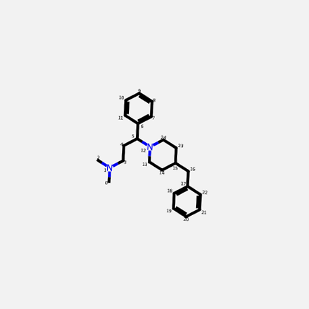 CN(C)CCC(c1ccccc1)N1CCC(Cc2ccccc2)CC1